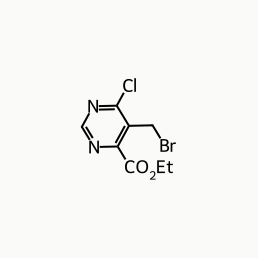 CCOC(=O)c1ncnc(Cl)c1CBr